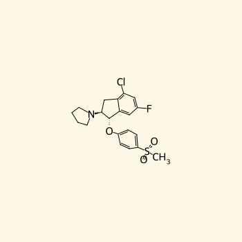 CS(=O)(=O)c1ccc(O[C@H]2c3cc(F)cc(Cl)c3C[C@@H]2N2CCCC2)cc1